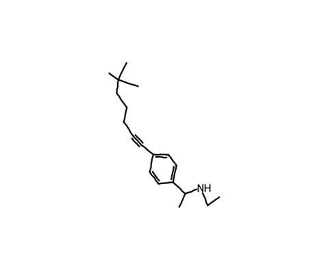 CCNC(C)c1ccc(C#CCCCC(C)(C)C)cc1